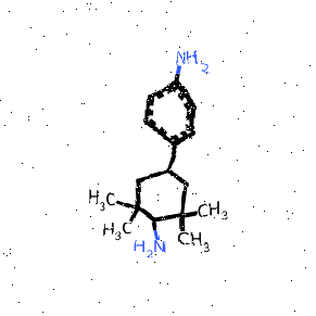 CC1(C)CC(c2ccc(N)cc2)CC(C)(C)C1N